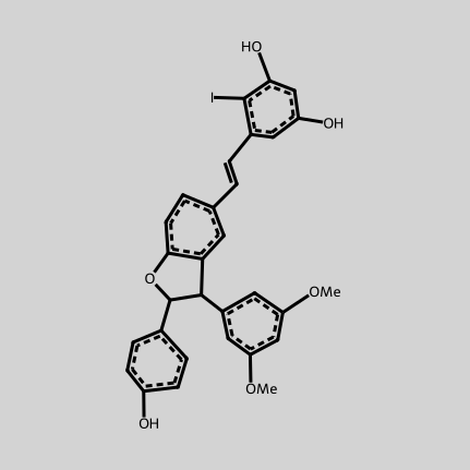 COc1cc(OC)cc(C2c3cc(/C=C/c4cc(O)cc(O)c4I)ccc3OC2c2ccc(O)cc2)c1